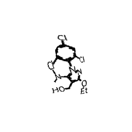 CCOc1nn(-c2c(Cl)cc(Cl)cc2Cl)c(N(C)C)c1CO